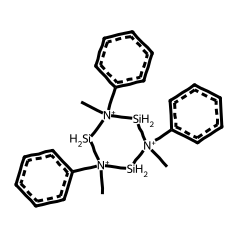 C[N+]1(c2ccccc2)[SiH2][N+](C)(c2ccccc2)[SiH2][N+](C)(c2ccccc2)[SiH2]1